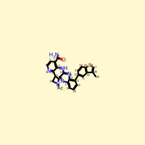 CC(=O)N1CC(c2nccc(C(N)=O)c2Nc2cnc3cccc(-c4ccc5scc(C)c5c4)c3n2)C1